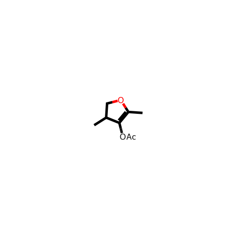 CC(=O)OC1=C(C)OCC1C